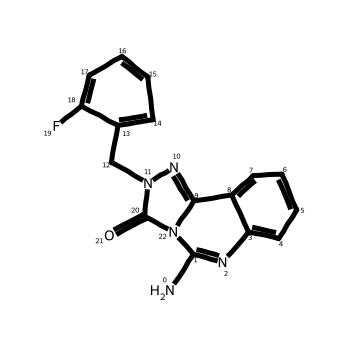 Nc1nc2ccccc2c2nn(Cc3ccccc3F)c(=O)n12